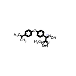 CC(C)c1ccc(Oc2ccc(/C(=N/O)c3nnnn3C)cc2)cc1